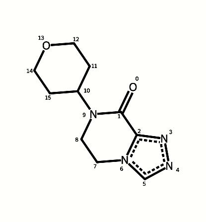 O=C1c2nncn2CCN1C1CCOCC1